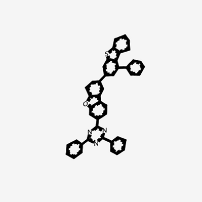 c1ccc(-c2nc(-c3ccccc3)nc(-c3ccc4c(c3)oc3ccc(-c5cc(-c6ccccc6)c6c(c5)sc5ccccc56)cc34)n2)cc1